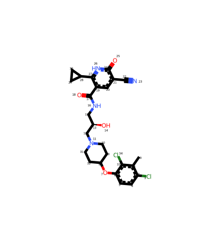 Cc1c(Cl)ccc(OC2CCN(C[C@H](O)CNC(=O)c3cc(C#N)c(=O)[nH]c3C3CC3)CC2)c1Cl